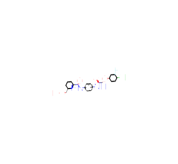 O=C(COc1ccc(Cl)c(F)c1)NC12CCC(NC(=O)c3cccc(CO)c3)(CC1)CC2